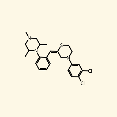 CC1CN(C)CC(C)N1c1ccccc1C=C1CN(c2ccc(Cl)c(Cl)c2)CCS1